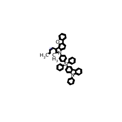 C=C/C=C\c1c(C)n(-c2ccc([Si](c3ccccc3)(c3ccccc3)c3ccc4c(c3)c3ccccc3n4-c3ccccc3)cc2)c2ccc3c4ccccc4oc3c12